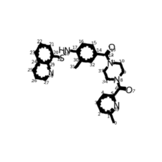 Cc1cccc(C(=O)N2CCN(C(=O)c3ccc(NSc4cccc5cccnc45)c(C)c3)CC2)n1